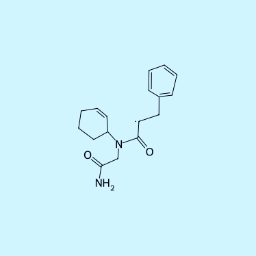 NC(=O)CN(C(=O)[CH]Cc1ccccc1)C1C=CCCC1